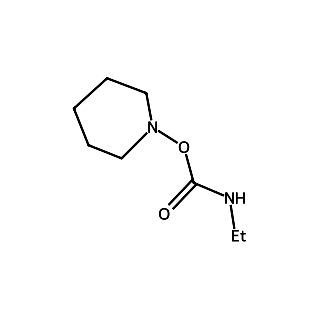 CCNC(=O)ON1CCCCC1